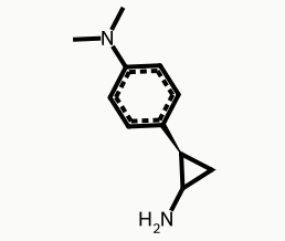 CN(C)c1ccc([C@H]2CC2N)cc1